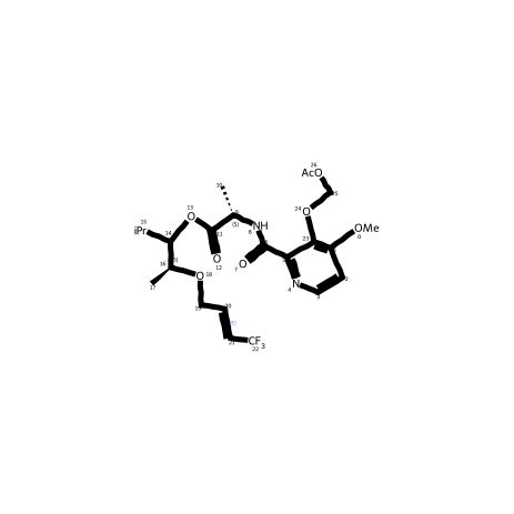 COc1ccnc(C(=O)N[C@@H](C)C(=O)OC(C(C)C)[C@H](C)OC/C=C/C(F)(F)F)c1OCOC(C)=O